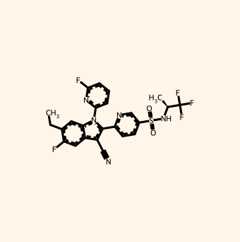 CCc1cc2c(cc1F)c(C#N)c(-c1ccc(S(=O)(=O)N[C@@H](C)C(F)(F)F)cn1)n2-c1cccc(F)n1